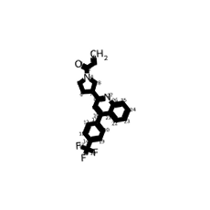 C=CC(=O)N1CCC(c2cc(-c3ccc(C(F)(F)F)cc3)c3ccccc3n2)C1